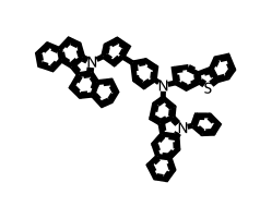 c1ccc(-n2c3cc(N(c4ccc(-c5cccc(-n6c7ccc8ccccc8c7c7ccc8ccccc8c76)c5)cc4)c4ccc5c(c4)sc4ccccc45)ccc3c3cc4ccccc4cc32)cc1